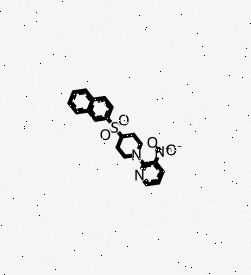 O=[N+]([O-])c1cccnc1N1CCC(S(=O)(=O)c2ccc3ccccc3c2)CC1